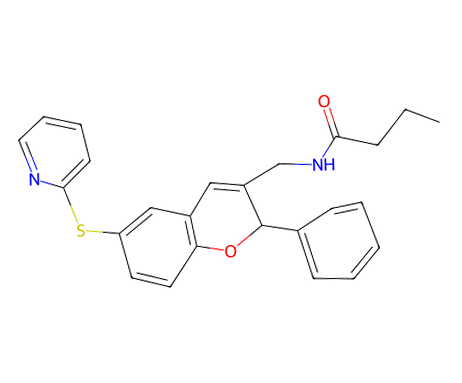 CCCC(=O)NCC1=Cc2cc(Sc3ccccn3)ccc2OC1c1ccccc1